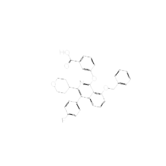 O=C(O)c1cccc(Oc2nc(C3CCOCC3)c(-c3ccc(F)cc3)c3cccc(OCc4ccccc4)c23)c1